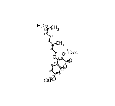 CCCCCCCCCCOc1c(OC/C=C(\C)CCC=C(C)C)c2ccc(OC(C)(C)C)cc2oc1=O